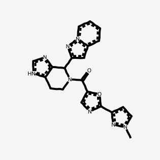 Cn1ccc(-c2ncc(C(=O)N3CCc4[nH]cnc4C3c3cc4ccccn4n3)o2)n1